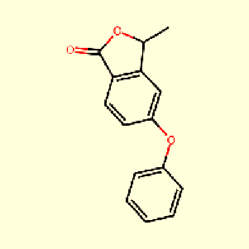 CC1OC(=O)c2ccc(Oc3ccccc3)cc21